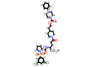 O=C(O)[C@H](CCC(=O)N1CCC(CCOC(=O)N2CCN(c3ccccc3)CC2)CC1)NC(=O)[C@H]1CCCN1S(=O)(=O)c1cc(Cl)cc(Cl)c1